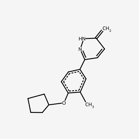 C=C1C=CC(c2ccc(OC3CCCC3)c(C)c2)=NN1